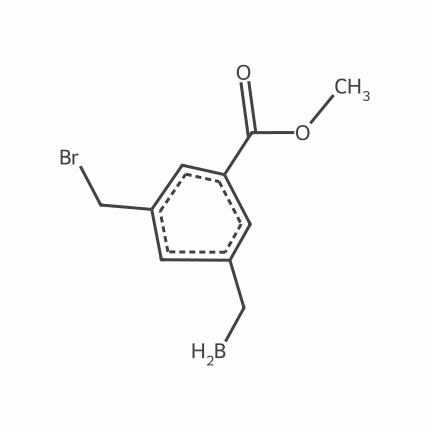 BCc1cc(CBr)cc(C(=O)OC)c1